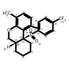 Cc1ccc(F)c2c1OC[C@H]1CCCC[C@@]21S(=O)(=O)c1ccc(C(F)(F)F)cc1